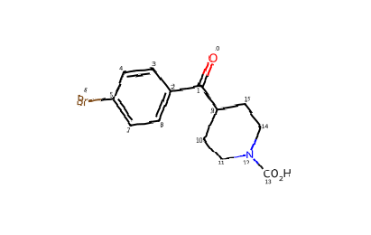 O=C(c1ccc(Br)cc1)C1CCN(C(=O)O)CC1